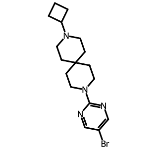 Brc1cnc(N2CCC3(CC2)CCN(C2CCC2)CC3)nc1